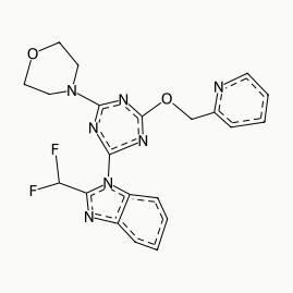 FC(F)c1nc2ccccc2n1-c1nc(OCc2ccccn2)nc(N2CCOCC2)n1